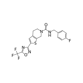 O=C(NCc1ccc(F)cc1)N1CCc2cc(-c3noc(C(F)(F)F)n3)sc2C1